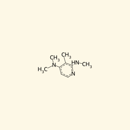 CNc1nccc(N(C)C)c1C